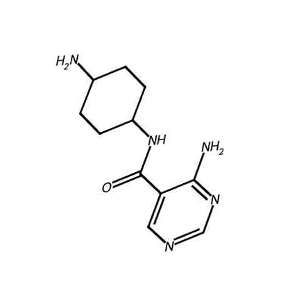 Nc1ncncc1C(=O)NC1CCC(N)CC1